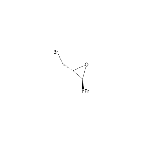 CCC[C@@H]1O[C@H]1CBr